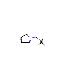 CCCCCC(C)(C)CN1CCCC1